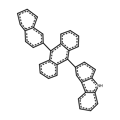 c1ccc2cc(-c3c4ccccc4c(-c4ccc5[nH]c6ccccc6c5c4)c4ccccc34)ccc2c1